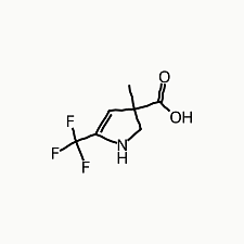 CC1(C(=O)O)C=C(C(F)(F)F)NC1